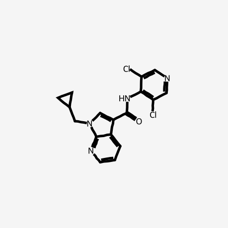 O=C(Nc1c(Cl)cncc1Cl)c1cn(CC2CC2)c2ncccc12